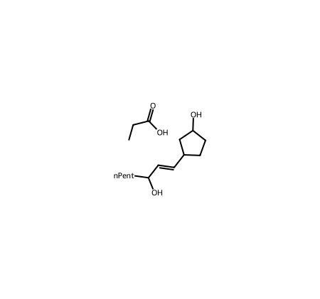 CCC(=O)O.CCCCCC(O)C=CC1CCC(O)C1